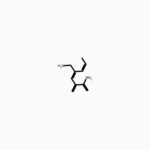 C=C(N)C(=C)/C=C(\C=C/C)CN